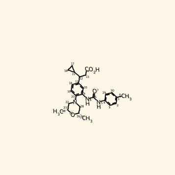 Cc1ccc(NC(=O)Nc2cc(C(CC(=O)O)C3CC3)ccc2N2C[C@@H](C)O[C@@H](C)C2)cc1